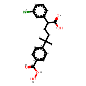 CC(C)(CCC(C(=O)O)c1cccc(Br)c1)c1ccc(C(=O)OO)cc1